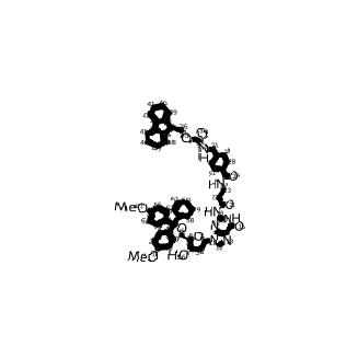 COc1ccc(C(OC[C@H]2OC(n3cnc4c(=O)[nH]c(NC(=O)CCNC(=O)c5ccc(CNC(=O)OCC6c7ccccc7-c7ccccc76)cc5)nc43)CC2O)(c2ccccc2)c2ccc(OC)cc2)cc1